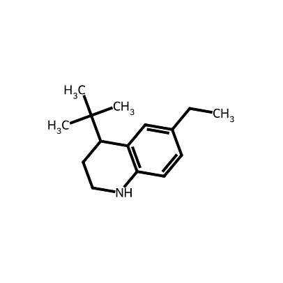 CCc1ccc2c(c1)C(C(C)(C)C)CCN2